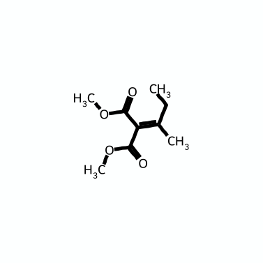 CCC(C)=C(C(=O)OC)C(=O)OC